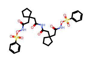 O=C(CC1(CC(=O)NC(=O)CC2(CC(=O)NOS(=O)(=O)c3ccccc3)CCCC2)CCCC1)NOS(=O)(=O)c1ccccc1